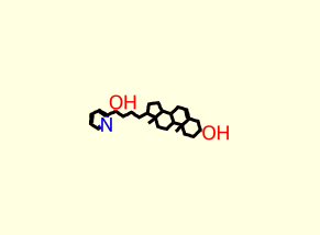 CC12CCC(O)CC1=CCC1C2CCC2(C)C(CCCC(O)c3ccccn3)CCC12